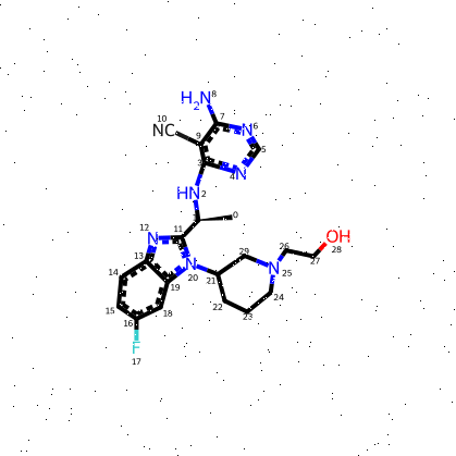 C[C@H](Nc1ncnc(N)c1C#N)c1nc2ccc(F)cc2n1C1CCCN(CCO)C1